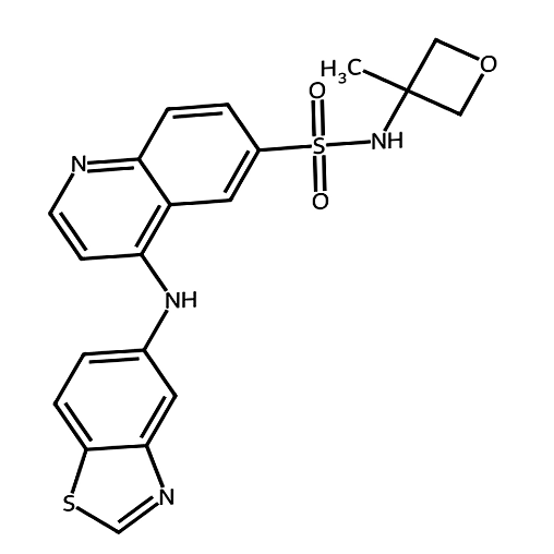 CC1(NS(=O)(=O)c2ccc3nccc(Nc4ccc5scnc5c4)c3c2)COC1